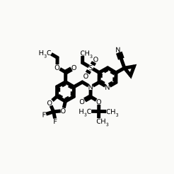 CCOC(=O)c1cc2c(cc1CN(C(=O)OC(C)(C)C)c1ncc(C3(C#N)CC3)cc1S(=O)(=O)CC)OC(F)(F)O2